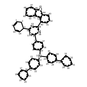 C1=CCC(c2nc(-c3ccc(N(c4ccc(-c5ccccc5)cc4)c4ccc(-c5ccccc5)cc4)cc3)nc(-c3cccc4oc5ccccc5c34)n2)C=C1